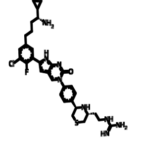 N=C(N)NCC[C@@H]1CSC[C@@H](c2ccc(-n3cc4cc(-c5cc(CCC[C@@H](N)C6CC6)cc(Cl)c5F)[nH]c4nc3=O)cc2)N1